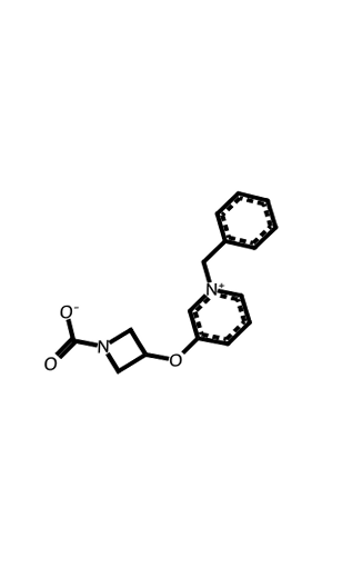 O=C([O-])N1CC(Oc2ccc[n+](Cc3ccccc3)c2)C1